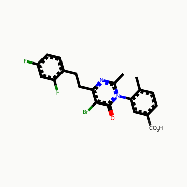 Cc1ccc(C(=O)O)cc1-n1c(C)nc(CCc2ccc(F)cc2F)c(Br)c1=O